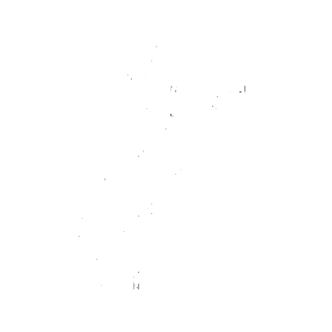 O=C(ON(c1nccs1)S(=O)(=O)c1cc(Cl)c(NC2CCCc3ccncc32)cc1F)C(F)(F)F